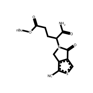 CCCCOC(=O)CCC(C(N)=O)N1Cc2c(csc2C#N)C1=O